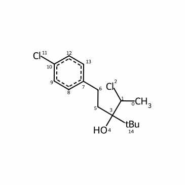 CC(Cl)C(O)(CCc1ccc(Cl)cc1)C(C)(C)C